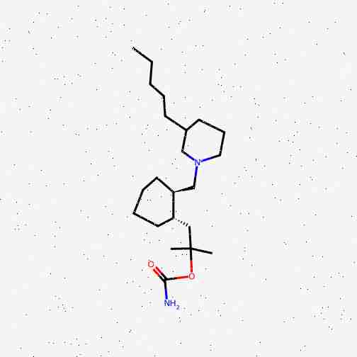 CCCCCC1CCCN(C[C@@H]2CCCC[C@H]2CC(C)(C)OC(N)=O)C1